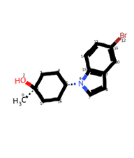 C[C@]1(O)CC[C@H](n2ccc3cc(Br)ccc32)CC1